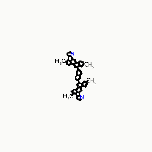 Cc1ccc2c(c1)c(-c1ccc3cc(-c4cc5c6ccc(C)c7c6c(cc5c5ccc(C)cc45)-c4ncccc4-7)ccc3c1)cc1c3ccc(C)c4c3c(cc21)-c1ncccc1-4